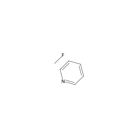 CF.c1ccncc1